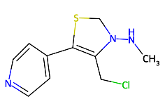 CNN1CSC(c2ccncc2)=C1CCl